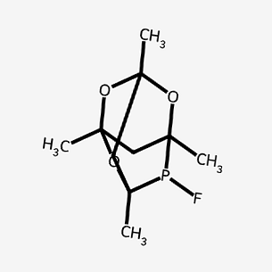 CC12CC3(C)OC(C)(CC(C)(O1)P3F)O2